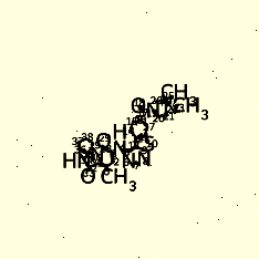 Cc1cc(Nc2ncnc3sc4c(c23)CC[C@H](C(=O)N2CCN(C)[C@H](C)C2)C4)c(=O)n2c1C(=O)NC21CCCC1